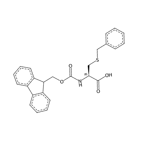 O=C(N[C@@H](CSCc1ccccc1)C(=O)O)OCC1c2ccccc2-c2ccccc21